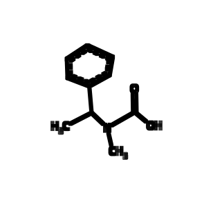 CC(c1ccccc1)N(C)C(=O)O